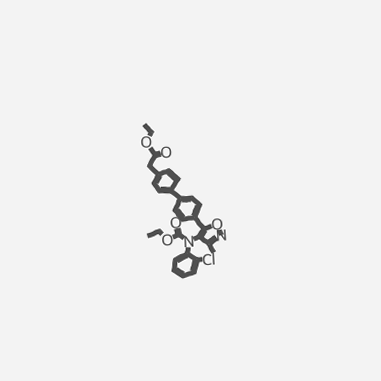 CCOC(=O)Cc1ccc(-c2ccc(-c3onc(C)c3N(C(=O)OCC)c3ccccc3Cl)cc2)cc1